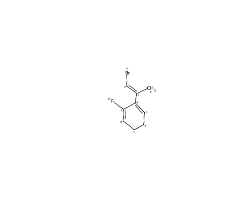 CC(=CBr)C1=CCCC=C1F